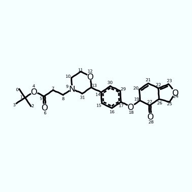 CC(C)(C)OC(=O)CCN1CCOC(c2ccc(OC3C=CC4=COCC4C3=O)cc2)C1